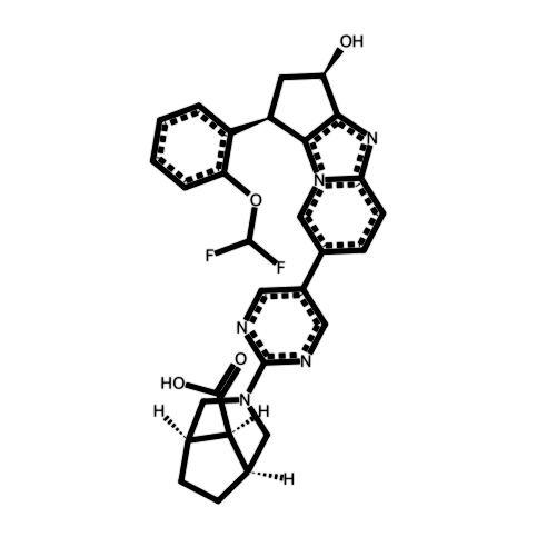 O=C(O)[C@H]1[C@@H]2CC[C@H]1CN(c1ncc(-c3ccc4nc5c(n4c3)[C@@H](c3ccccc3OC(F)F)C[C@H]5O)cn1)C2